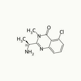 C[C@H](N)c1nc2cccc(Cl)c2c(=O)n1C